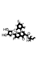 CCC(C)(C)NC(=O)c1cn(-c2c(F)cc(F)cc2Cl)c2nc(N3C[C@@H](O)[C@H](O)C3)c(F)cc2c1=O